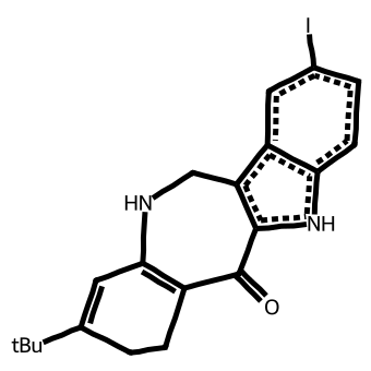 CC(C)(C)C1=CC2=C(CC1)C(=O)c1[nH]c3ccc(I)cc3c1CN2